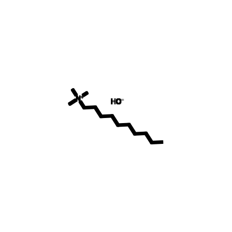 CCCCCCCCCC[N+](C)(C)C.[OH-]